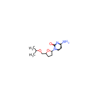 CC(C)OCC1CCC(n2ccc(N)nc2=O)O1